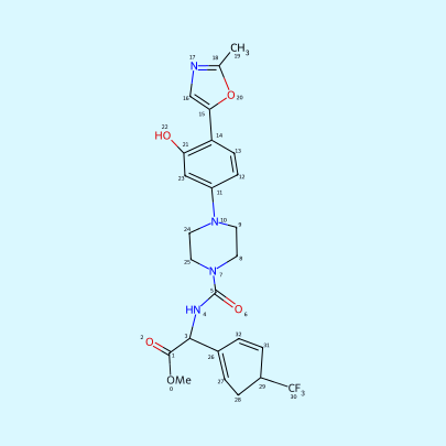 COC(=O)C(NC(=O)N1CCN(c2ccc(-c3cnc(C)o3)c(O)c2)CC1)C1=CCC(C(F)(F)F)C=C1